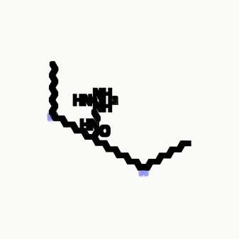 CCCCCCCC/C=C\CCCCCCCCC(CCCCCC/C=C\CCCCCCCC)C(=O)NCCNC(=N)N